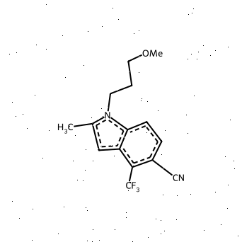 COCCCn1c(C)cc2c(C(F)(F)F)c(C#N)ccc21